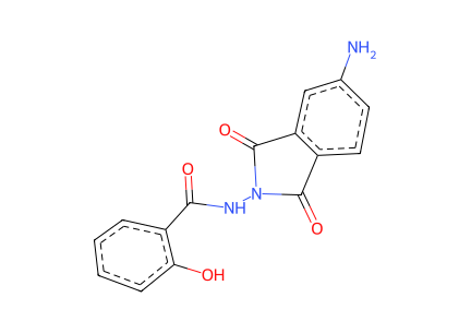 Nc1ccc2c(c1)C(=O)N(NC(=O)c1ccccc1O)C2=O